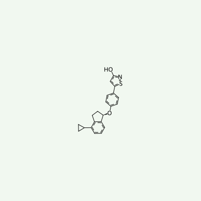 Oc1cc(-c2ccc(O[C@@H]3CCc4c(C5CC5)cccc43)cc2)sn1